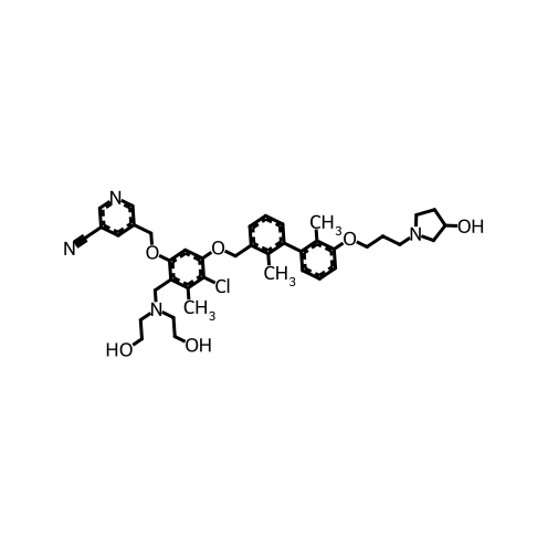 Cc1c(COc2cc(OCc3cncc(C#N)c3)c(CN(CCO)CCO)c(C)c2Cl)cccc1-c1cccc(OCCCN2CCC(O)C2)c1C